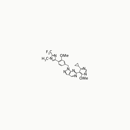 COc1cc(Cn2ncc3cnc(-c4c(OC)ncnc4C4CC4)nc32)ccc1-c1cn(C)c(C(F)(F)F)n1